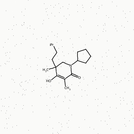 CC1=C(O)C(C)(CCC(C)C)CN(C2CCCC2)C1=O